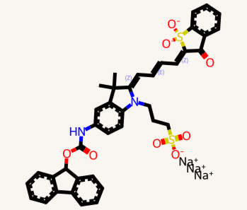 CC1(C)/C(=C/C=C/C=C2/C(=O)c3ccccc3S2([O-])[O-])N(CCCS(=O)(=O)[O-])c2ccc(NC(=O)OC3c4ccccc4-c4ccccc43)cc21.[Na+].[Na+].[Na+]